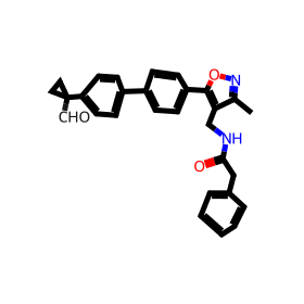 Cc1noc(-c2ccc(-c3ccc(C4(C=O)CC4)cc3)cc2)c1CNC(=O)Cc1ccccc1